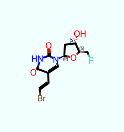 O=c1[nH]c(=O)n([C@H]2C[C@H](O)[C@@H](CF)O2)cc1C=CBr